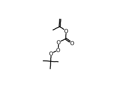 C=C(C)OC(=O)OOOC(C)(C)C